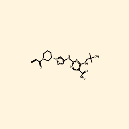 C=CC(=O)N1CCC[C@H](n2cc(Nc3ncc(C(N)=O)c(NCC(C)(C)O)n3)cn2)C1